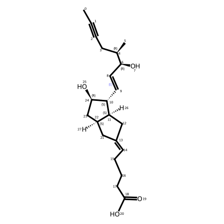 CC#CC[C@@H](C)[C@@H](O)/C=C/[C@@H]1[C@H]2CC(=CCCCC(=O)O)C[C@H]2C[C@H]1O